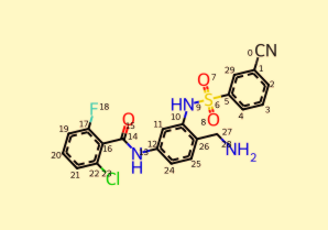 N#Cc1cccc(S(=O)(=O)Nc2cc(NC(=O)c3c(F)cccc3Cl)ccc2CN)c1